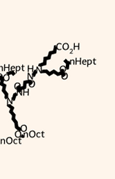 CCCCCCCCC(CCCCCCCC)OC(=O)CCCCCCCN(CCCCCC(=O)OCC(C)CCCCCCC)CCNC(=O)CCC(=O)NCCN(CCCCCCCC(=O)O)CCCCCC(=O)OCC(C)CCCCCCC